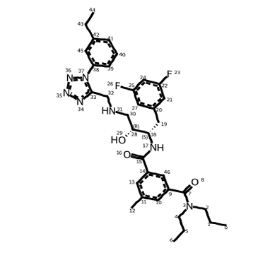 CCCN(CCC)C(=O)c1cc(C)cc(C(=O)N[C@@H](Cc2cc(F)cc(F)c2)[C@H](O)CNCc2nnnn2-c2cccc(CC)c2)c1